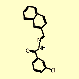 O=C(NN=Cc1ccc2ccccc2c1)c1cccc(Cl)c1